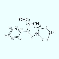 CN(C=O)C(CN1CCOCC1)c1ccccc1